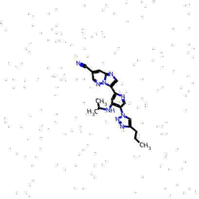 CCCc1cn(-c2cnc(-c3cnc4cc(C#N)cnn34)cc2NC(C)C)nn1